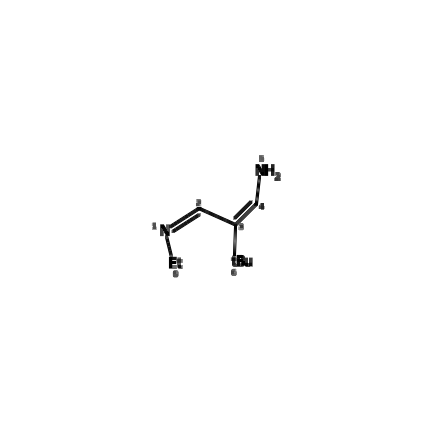 CC/N=C\C(=C/N)C(C)(C)C